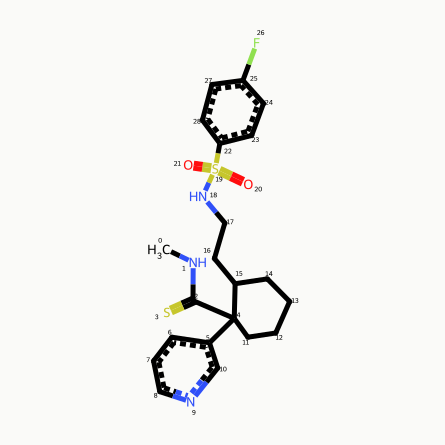 CNC(=S)C1(c2cccnc2)CCCCC1CCNS(=O)(=O)c1ccc(F)cc1